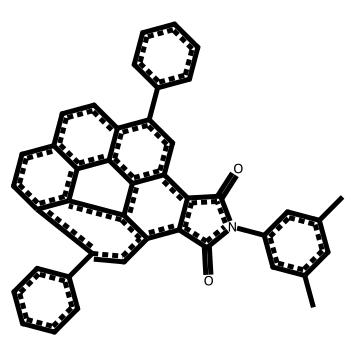 Cc1cc(C)cc(-n2c(=O)c3c4cc(-c5ccccc5)c5ccc6ccc7c(-c8ccccc8)cc(c3c2=O)c2c7c6c5c42)c1